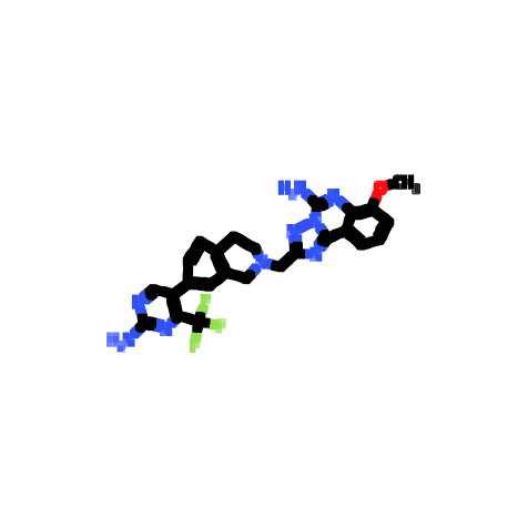 COc1cccc2c1nc(N)n1nc(CN3CCc4ccc(-c5cnc(N)nc5C(F)(F)F)cc4C3)nc21